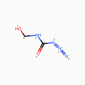 [N-]=[N+]=NC(=O)NCO